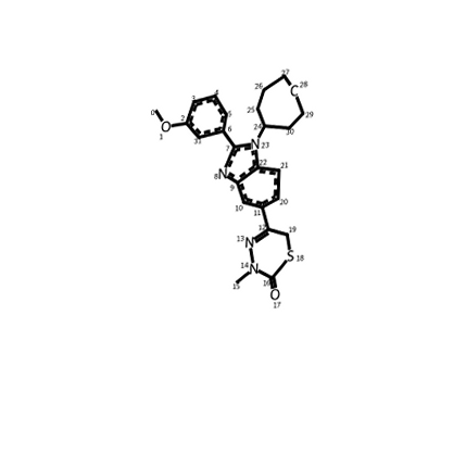 COc1cccc(-c2nc3cc(C4=NN(C)C(=O)SC4)ccc3n2C2CCCCCC2)c1